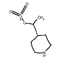 CC(O[SH](=O)=O)C1CCNCC1